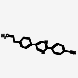 C=CCc1ccc(-c2cnc(-c3ccc(C#N)cc3)nc2)cc1